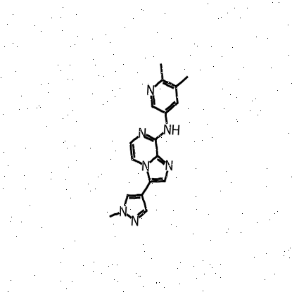 Cc1cc(Nc2nccn3c(-c4cnn(C)c4)cnc23)cnc1C